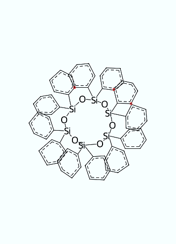 c1ccc([Si]2(c3ccccc3)O[Si](c3ccccc3)(c3ccccc3)O[Si](c3ccccc3)(c3ccccc3)O[Si](c3ccccc3)(c3ccccc3)O[Si](c3ccccc3)(c3ccccc3)O[Si](c3ccccc3)(c3ccccc3)O2)cc1